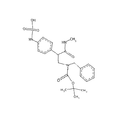 CNC(=O)C(CN(Cc1ccccc1)C(=O)OC(C)(C)C)c1ccc(NS(=O)(=O)O)cc1